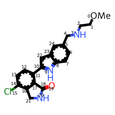 COCCNCc1ccc2[nH]c(-c3ccc(Cl)c4c3C(=O)NC4)cc2c1